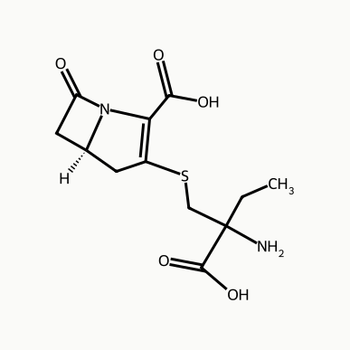 CCC(N)(CSC1=C(C(=O)O)N2C(=O)C[C@@H]2C1)C(=O)O